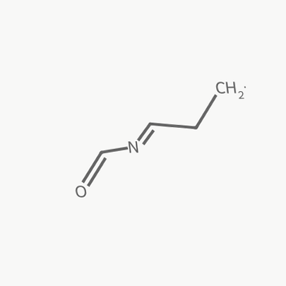 [CH2]CC=NC=O